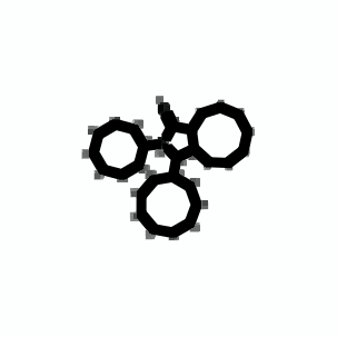 O=C1C2CCCCCCCC2C(C2CCCCCCCC2)N1C1CCCCCCC1